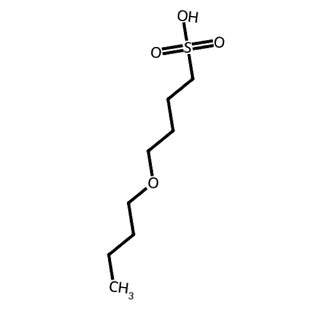 CCCCOCCCCS(=O)(=O)O